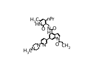 C=CC(=O)n1ccc2c(C(=O)NCc3c(CCC)cc(C)[nH]c3=O)cc(-c3ccc(N4CCN(C)CC4)nc3)cc21